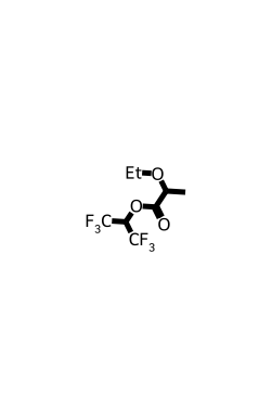 CCOC(C)C(=O)OC(C(F)(F)F)C(F)(F)F